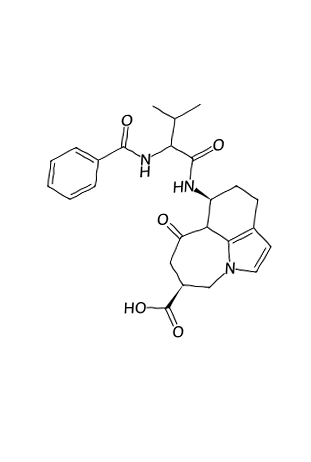 CC(C)C(NC(=O)c1ccccc1)C(=O)N[C@H]1CCc2ccn3c2C1C(=O)C[C@H](C(=O)O)C3